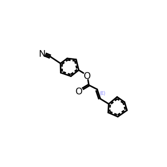 N#Cc1ccc(OC(=O)/C=C/c2ccccc2)cc1